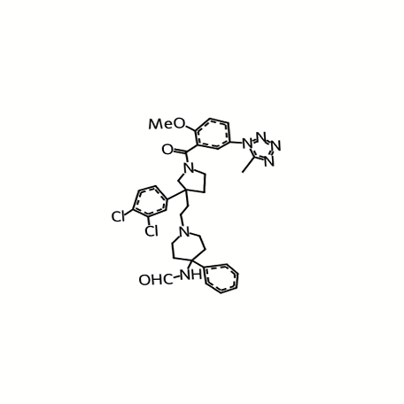 COc1ccc(-n2nnnc2C)cc1C(=O)N1CCC(CCN2CCC(NC=O)(c3ccccc3)CC2)(c2ccc(Cl)c(Cl)c2)C1